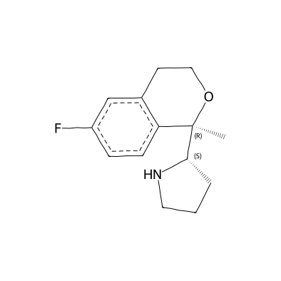 C[C@@]1([C@@H]2CCCN2)OCCc2cc(F)ccc21